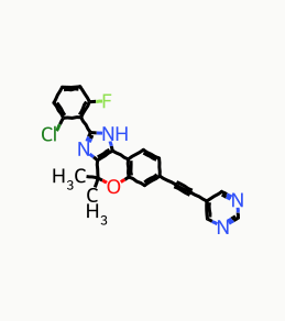 CC1(C)Oc2cc(C#Cc3cncnc3)ccc2-c2[nH]c(-c3c(F)cccc3Cl)nc21